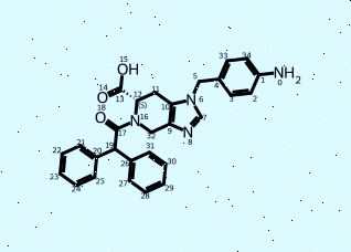 Nc1ccc(Cn2cnc3c2C[C@@H](C(=O)O)N(C(=O)C(c2ccccc2)c2ccccc2)C3)cc1